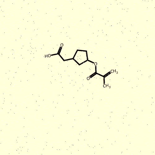 C=C(C)C(=O)OC1CCC(CC(=O)O)C1